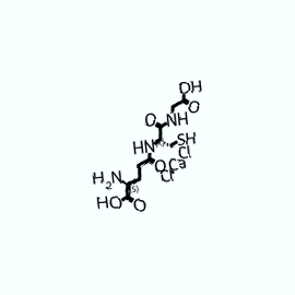 N[C@@H](CCC(=O)N[C@@H](CS)C(=O)NCC(=O)O)C(=O)O.[Cl][Ca][Cl]